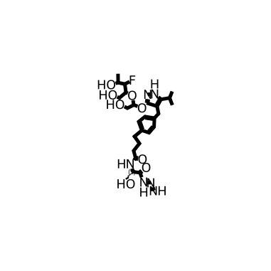 CC(C)c1[nH]nc(OC(CO)OC(CO)C(F)C(C)O)c1Cc1ccc(CCCC(=O)N[C@@H](CO)C(=O)NN=N)cc1